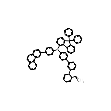 C=CC1C=CC=CC1c1cccc(-c2ccc(N(c3ccc(-c4ccc5ccc6ccccc6c5c4)cc3)c3cccc4c3-c3ccccc3C4(c3ccccc3)c3ccccc3)cc2)c1